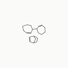 C1=CC(C2C=CCCCC2)CCCC1.C1=CC2CCC1C2